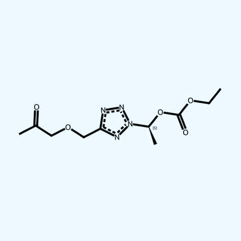 CCOC(=O)O[C@@H](C)n1nnc(COCC(C)=O)n1